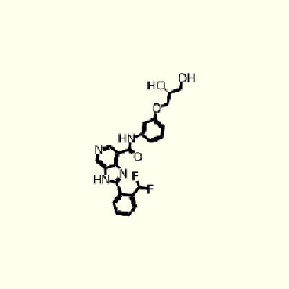 O=C(Nc1cccc(OC[C@H](O)CO)c1)c1cncc2[nH]c(-c3ccccc3C(F)F)nc12